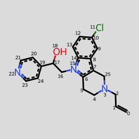 C=CCN1CCc2c(c3cc(Cl)ccc3n2CC(O)c2ccncc2)C1